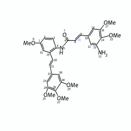 COc1ccc(NC(=O)/C=C/c2cc(N)c(OC)c(OC)c2)c(C=Cc2cc(OC)c(OC)c(OC)c2)c1